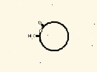 CC1CCCCCCCCCCCCCCC(=O)O1